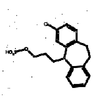 O=S(=O)(O)OCCCN1c2ccccc2CCc2ccc(Cl)cc21